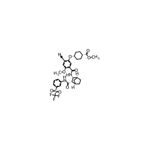 COc1cc(C#N)c(O[C@H]2CC[C@@H](C(=O)OC)CC2)cc1C(=O)N[C@@H]1[C@H]2CC[C@H](C2)[C@@H]1C(=O)Nc1cccc(S(=O)(=O)C(F)(F)F)c1